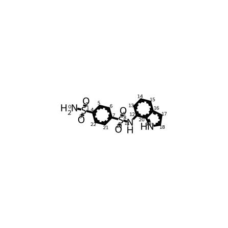 NS(=O)(=O)c1ccc(S(=O)(=O)Nc2cccc3cc[nH]c23)cc1